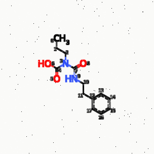 CCCN(C(=O)O)C(=O)NCCc1ccccc1